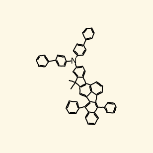 CC1(C)c2cc(N(c3ccc(-c4ccccc4)cc3)c3ccc(-c4ccccc4)cc3)ccc2-c2c1cc1c3c(cccc23)-c2c-1c(-c1ccccc1)c1ccccc1c2-c1ccccc1